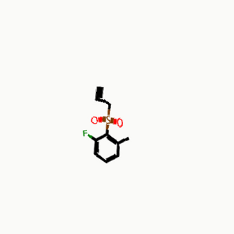 C=CCS(=O)(=O)c1c(C)cccc1F